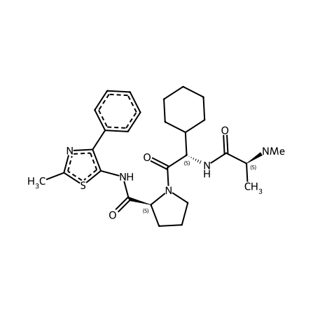 CN[C@@H](C)C(=O)N[C@H](C(=O)N1CCC[C@H]1C(=O)Nc1sc(C)nc1-c1ccccc1)C1CCCCC1